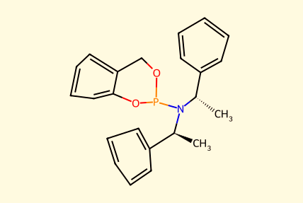 C[C@@H](c1ccccc1)N([C@@H](C)c1ccccc1)P1OCc2ccccc2O1